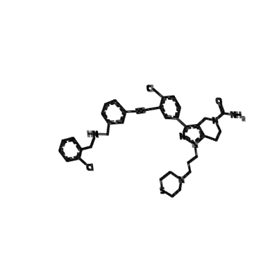 NC(=O)N1CCc2c(c(-c3ccc(Cl)c(C#Cc4cccc(CNCc5ccccc5Cl)c4)c3)nn2CCCN2CCSCC2)C1